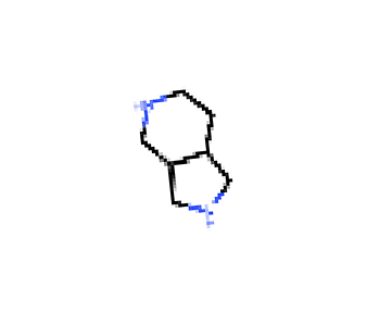 [CH]1NCCC2CNCC12